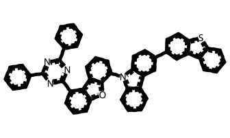 c1ccc(-c2nc(-c3ccccc3)nc(-c3cccc4oc5c(-n6c7ccccc7c7cc(-c8ccc9sc%10ccccc%10c9c8)ccc76)cccc5c34)n2)cc1